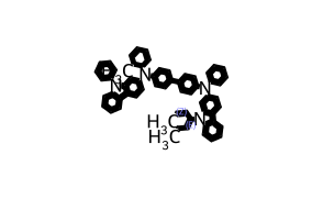 C/C=C\C(=C/CC)n1c2ccccc2c2ccc(N(c3ccccc3)c3ccc(-c4ccc(N(c5ccc6c7ccccc7n(-c7ccccc7)c6c5)C5C=CC=CC5C)cc4)cc3)cc21